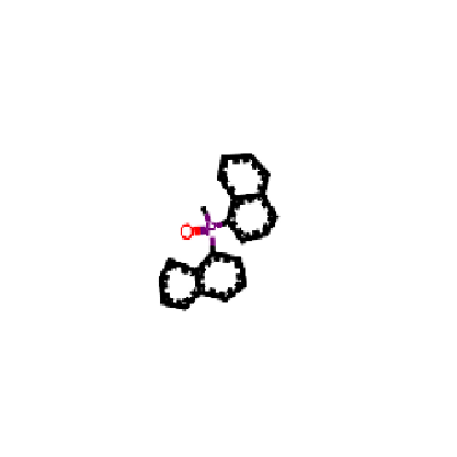 CP(=O)(c1cccc2ccccc12)c1cccc2ccccc12